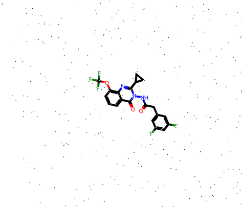 O=C(Cc1cc(F)cc(F)c1)Nn1c(C2CC2)nc2c(OC(F)(F)F)cccc2c1=O